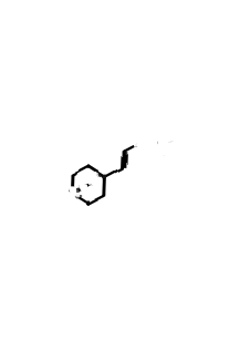 CCOC(=O)/C=C/C12CCN(CC1)CC2